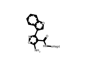 CCCCCCCNC(=O)c1c(-c2coc3ccccc23)noc1N